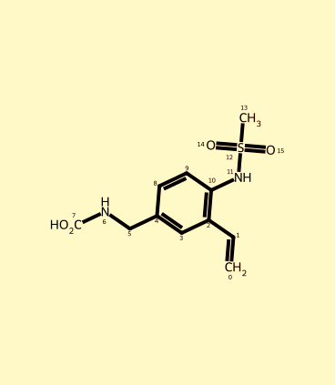 C=Cc1cc(CNC(=O)O)ccc1NS(C)(=O)=O